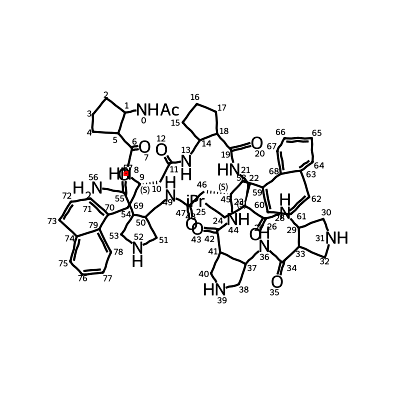 CC(=O)NC1CCCC1C(=O)N[C@H](CC(=O)NC1CCCC1C(=O)NC[C@H](CC(C)C)C(=O)NC1CNCC1C(=O)NC1CNCC1C(=O)N[C@H](CC(=O)NC1CNCC1C(N)=O)Cc1cccc2ccccc12)Cc1cccc2ccccc12